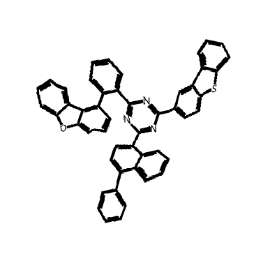 c1ccc(-c2ccc(-c3nc(-c4ccc5sc6ccccc6c5c4)nc(-c4ccccc4-c4cccc5oc6ccccc6c45)n3)c3ccccc23)cc1